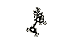 COc1cc(C#CC2=C[C@@H]3C[C@@]4(OC(=O)C=C24)[C@H]2CC[C@H](C(OC)OC)N32)cc(OC)c1